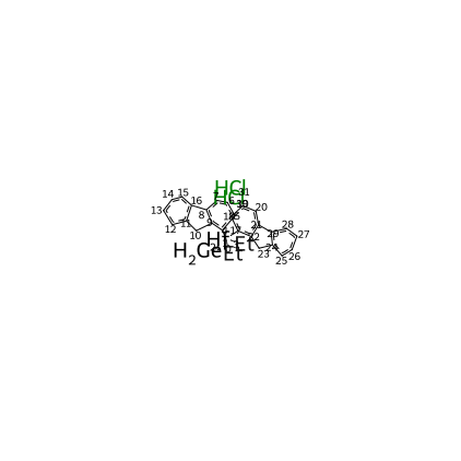 C[CH2][Hf](=[GeH2])([CH2]C)([c]1cccc2c1Cc1ccccc1-2)[c]1cccc2c1Cc1ccccc1-2.Cl.Cl